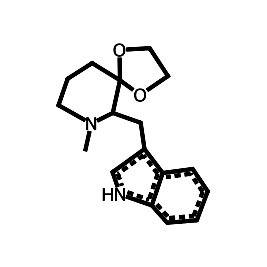 CN1CCCC2(OCCO2)C1Cc1c[nH]c2ccccc12